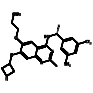 COCCOc1cc2c(N[C@H](C)c3cc(N)cc(C(F)(F)F)c3)nc(C)nc2cc1OC1CNC1